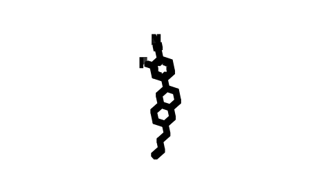 C=CCCC1CCC2CC(c3ccc(C#N)c(F)c3)CCC2C1